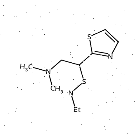 CC[N]SC(CN(C)C)c1nccs1